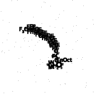 CCCCCCCCc1cccc(-c2ncccn2)c1OCC(F)COCC(F)(F)C(F)(F)C(F)(F)C(F)(F)C(F)(F)OC(F)(F)C(F)(F)OC(F)(F)C(F)(F)OC(F)(F)C(F)(F)C(F)(F)C(F)(F)F